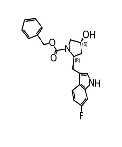 O=C(OCc1ccccc1)N1C[C@@H](O)C[C@H]1Cc1c[nH]c2cc(F)ccc12